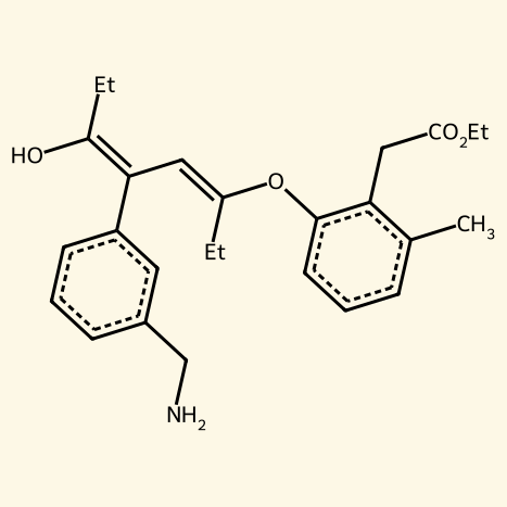 CCOC(=O)Cc1c(C)cccc1O/C(=C/C(=C(/O)CC)c1cccc(CN)c1)CC